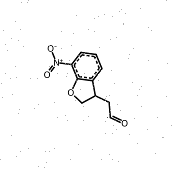 O=[C]CC1COc2c1cccc2[N+](=O)[O-]